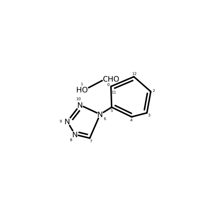 O=CO.c1ccc(-n2cnnn2)cc1